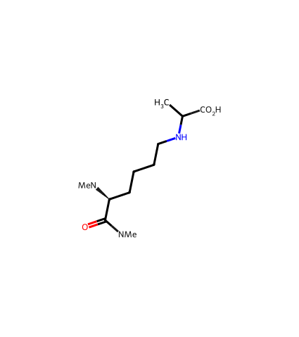 CNC(=O)[C@H](CCCCNC(C)C(=O)O)NC